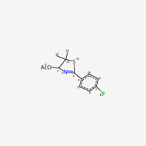 CC(=O)OC1N=C(c2ccc(F)cc2)SC1(C)C